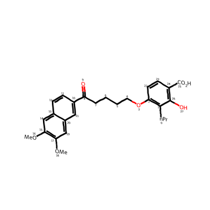 CCCc1c(OCCCCC(=O)c2ccc3cc(OC)c(OC)cc3c2)ccc(C(=O)O)c1O